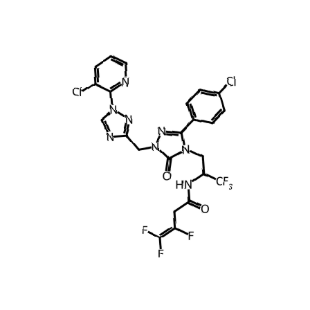 O=C(CC(F)=C(F)F)NC(Cn1c(-c2ccc(Cl)cc2)nn(Cc2ncn(-c3ncccc3Cl)n2)c1=O)C(F)(F)F